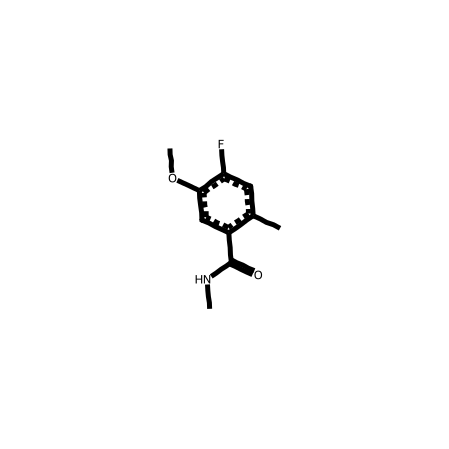 CNC(=O)c1cc(OC)c(F)cc1C